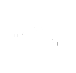 CCOCc1[c]c(COCC)[nH]n1